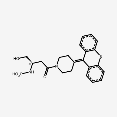 O=C(O)N[C@@H](CO)CC(=O)N1CCC(=C2c3ccccc3Sc3ccccc32)CC1